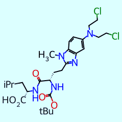 CC(C)C[C@H](NC(=O)[C@H](CCc1nc2cc(N(CCCl)CCCl)ccc2n1C)NC(=O)OC(C)(C)C)C(=O)O